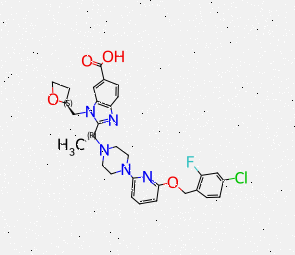 C[C@H](c1nc2ccc(C(=O)O)cc2n1C[C@@H]1CCO1)N1CCN(c2cccc(OCc3ccc(Cl)cc3F)n2)CC1